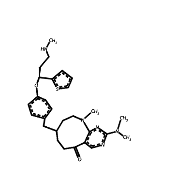 CNCC[C@H](Oc1ccc(CC2CCC(=O)c3cnc(N(C)C)nc3N(C)CC2)cc1)c1cccs1